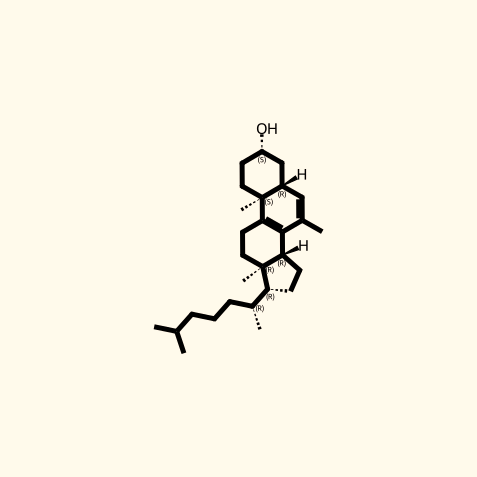 CC1=C[C@H]2C[C@@H](O)CC[C@]2(C)C2=C1[C@@H]1CC[C@H]([C@H](C)CCCC(C)C)[C@@]1(C)CC2